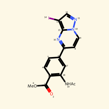 COC(=O)c1ccc(-c2ccn3ncc(I)c3n2)cc1NC(C)=O